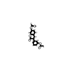 CC(=O)Oc1cccc(C2Cc3ccc(OC(C)=O)cc3OC2=O)c1